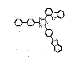 c1ccc(-c2ccc(-c3nc(-c4ccc(-c5cc6ccccc6s5)cc4)nc(-c4cccc5c4oc4ccccc45)n3)cc2)cc1